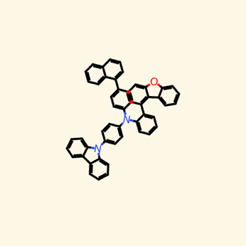 c1ccc(N(c2ccc(-c3cccc4ccccc34)cc2)c2ccc(-n3c4ccccc4c4ccccc43)cc2)c(-c2cccc3oc4ccccc4c23)c1